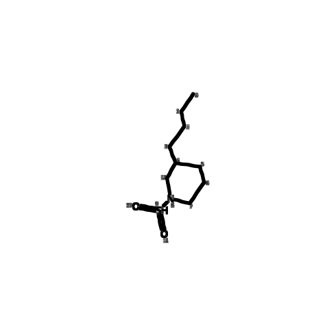 CCCCC1CCCN([SH](=O)=O)C1